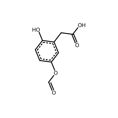 O=COc1ccc(O)c(CC(=O)O)c1